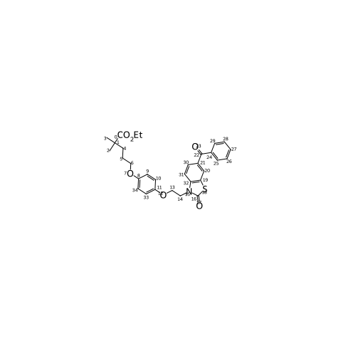 CCOC(=O)C(C)(C)CCCOc1ccc(OCCn2c(=O)sc3cc(C(=O)c4ccccc4)ccc32)cc1